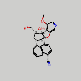 COc1cncc2c1[C@]1(O)[C@@H](CO)C[C@@H](c3ccccc3)[C@]1(c1ccc(C#N)cc1)O2